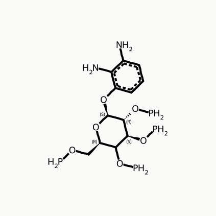 Nc1cccc(O[C@@H]2O[C@H](COP)C(OP)[C@H](OP)[C@H]2OP)c1N